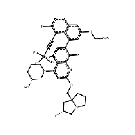 COCOc1cc(-c2nc(OC)c3c(N4CCC[C@@H](O)C4)nc(OC[C@@]45CCCN4C[C@H](F)C5)nc3c2F)c2c(C#C[Si](C(C)C)(C(C)C)C(C)C)c(F)ccc2c1